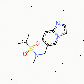 CC(C)S(=O)(=O)N(C)Cc1ccc2nccn2c1